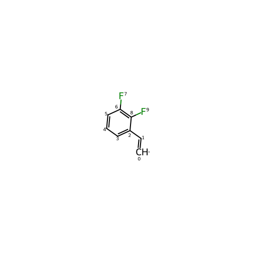 [CH]=Cc1cccc(F)c1F